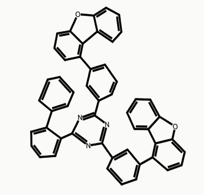 c1ccc(-c2ccccc2-c2nc(-c3cccc(-c4cccc5oc6ccccc6c45)c3)nc(-c3cccc(-c4cccc5oc6ccccc6c45)c3)n2)cc1